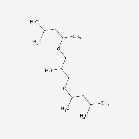 CC(C)CC(C)OCC(O)COC(C)CC(C)C